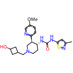 COc1ccc([C@@H]2CN(CC3CC(O)C3)CC[C@H]2NC(=O)Nc2cc(C)ns2)nc1